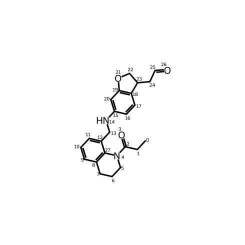 CCC(=O)N1CCCc2cccc(CNc3ccc4c(c3)OCC4CC=O)c21